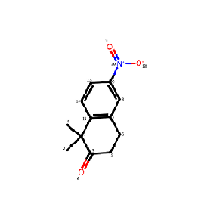 CC1(C)C(=O)CCc2cc([N+](=O)[O-])ccc21